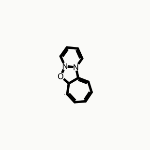 [C]1=CC=CC=C2C1ON1C=CC=CN21